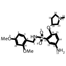 COc1ccc(CNS(=O)(=O)c2cc(N)ccc2O[C@@H]2CCN(C)C2)c(OC)c1